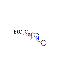 CCOC(=O)ON1CC2CCN(Cc3ccccc3)C2C1C